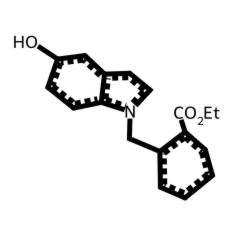 CCOC(=O)c1ccccc1Cn1ccc2cc(O)ccc21